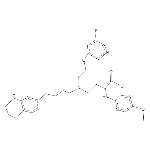 COc1cnc(NC(CCN(CCCCc2ccc3c(n2)NCCC3)CCOc2cncc(F)c2)C(=O)O)cn1